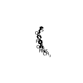 CC(=S)NC[C@H]1CN(c2ccc(N3CCN(C(=O)C=Cc4cccs4)CC3)c(F)c2)C(=O)O1